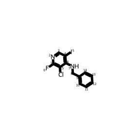 Fc1ncc(I)c(NCc2ccccc2)c1Cl